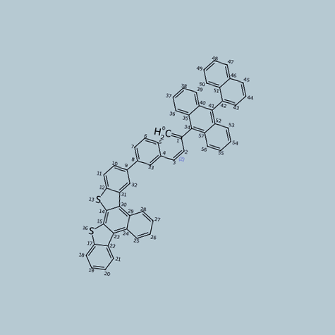 C=C(/C=C\c1cccc(-c2ccc3sc4c5sc6ccccc6c5c5ccccc5c4c3c2)c1)c1c2ccccc2c(-c2cccc3ccccc23)c2ccccc12